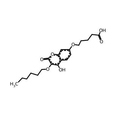 CCCCCCOc1c(O)c2ccc(OCCCCC(=O)O)cc2oc1=O